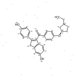 CCN1CC[C@@H](Oc2ccc(C(=O)c3c(-c4ccc(O)cc4)sc4cc(O)ccc34)cc2)C1